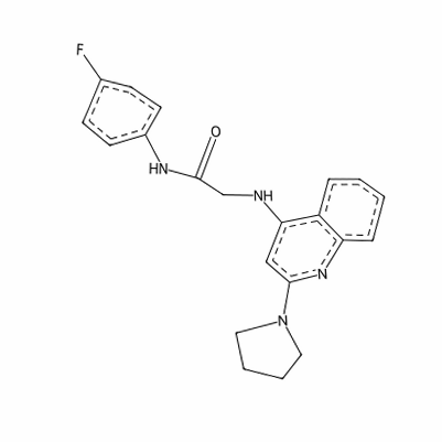 O=C(CNc1cc(N2CCCC2)nc2ccccc12)Nc1ccc(F)cc1